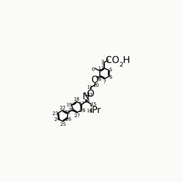 Cc1c(CC(=O)O)cccc1OCCO/N=C(\CC(C)C)c1ccc(-c2ccccc2)cc1